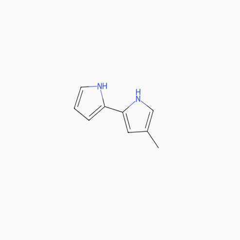 Cc1c[nH]c(-c2ccc[nH]2)c1